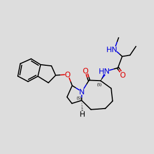 CCC(NC)C(=O)N[C@H]1CCCC[C@H]2CCC(OC3Cc4ccccc4C3)N2C1=O